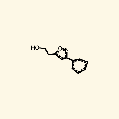 OCCc1cc(-c2ccccc2)no1